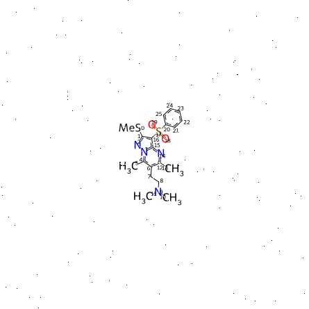 CSc1nn2c(C)c(CCN(C)C)c(C)nc2c1S(=O)(=O)c1ccccc1